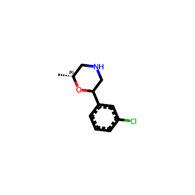 C[C@@H]1CNCC(c2cccc(Cl)c2)O1